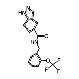 O=C(NCc1ccccc1OC(F)(F)F)c1ccc2[nH]ncc2c1